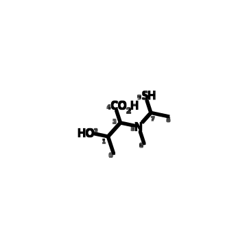 CC(O)C(C(=O)O)N(C)C(C)S